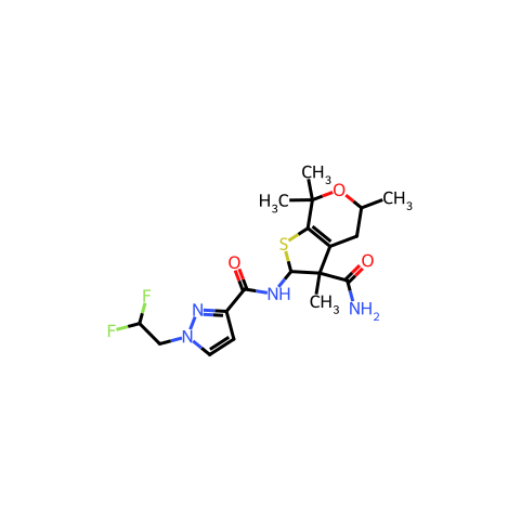 CC1CC2=C(SC(NC(=O)c3ccn(CC(F)F)n3)C2(C)C(N)=O)C(C)(C)O1